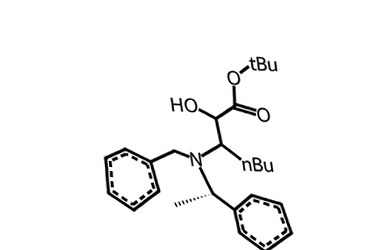 CCCCC(C(O)C(=O)OC(C)(C)C)N(Cc1ccccc1)[C@@H](C)c1ccccc1